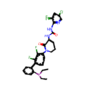 CCP(CC)c1ccccc1-c1ccc(N2CCCC(NC(=O)Nc3ncc(Cl)cc3F)C2=O)c(F)c1F